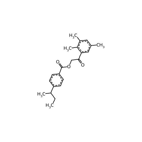 CCC(C)c1ccc(C(=O)OCC(=O)c2cc(C)cc(C)c2C)cc1